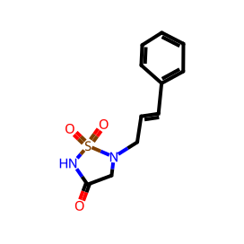 O=C1CN(C/C=C/c2ccccc2)S(=O)(=O)N1